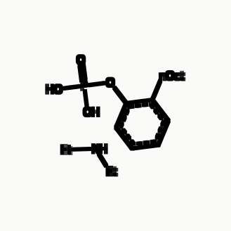 CCCCCCCCc1ccccc1OP(=O)(O)O.CCNCC